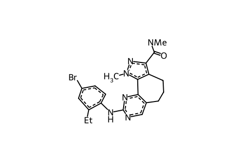 CCc1cc(Br)ccc1Nc1ncc2c(n1)-c1c(c(C(=O)NC)nn1C)CCC2